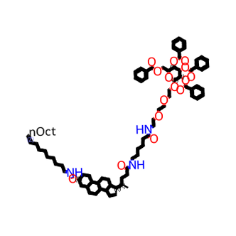 CCCCCCCC/C=C\CCCCCCCCNO[C@@H]1CCC2C(CCC3C2CCC2C3CC[C@@H]2[C@H](C)CCC(=O)NCCCCCC(=O)NCCOCCOCCO[C@H]2OC(COC(=O)c3ccccc3)[C@@H](OC(=O)c3ccccc3)C(OC(=O)c3ccccc3)[C@H]2OC(=O)c2ccccc2)C1